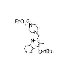 CCCCOc1c(C)c(CN2CCN(C(=O)OCC)CC2)nc2ccccc12